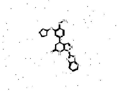 COc1ccc(C2CC(=O)Nc3c2cnn3-c2nc3cccnc3s2)cc1OC1CCCC1